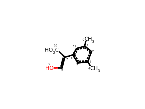 Cc1cc(C)cc(/C(=C/O)C(=O)O)c1